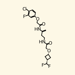 C=C(CCNC(=O)CO[C@H]1C[C@H](C(F)F)C1)NC(=O)COc1ccc(Cl)c(F)c1